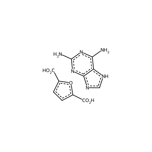 Nc1nc(N)c2[nH]cnc2n1.O=C(O)c1ccc(C(=O)O)o1